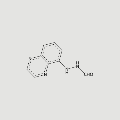 O=CNNc1cccc2nccnc12